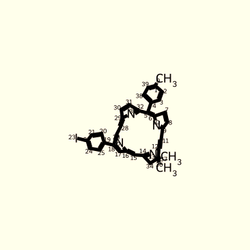 Cc1ccc(C2=C3C=CC(=N3)C=C3N=C(C=C4C=C(c5ccc(I)cc5)C(=N4)C=C4C=CC2=N4)CC3(C)C)cc1